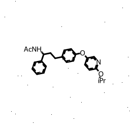 CC(=O)NC(CCc1ccc(Oc2ccc(OC(C)C)nc2)cc1)c1ccccc1